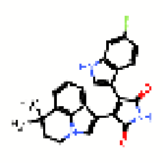 CC1(C)CCn2cc(C3=C(c4c[nH]c5cc(F)ccc45)C(=O)NC3=O)c3cccc1c32